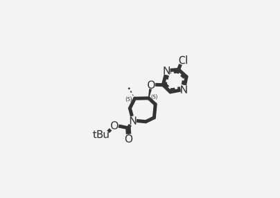 C[C@H]1CN(C(=O)OC(C)(C)C)CCC[C@@H]1Oc1cncc(Cl)n1